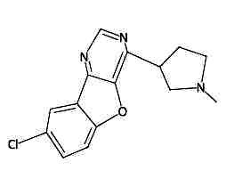 CN1CCC(c2ncnc3c2oc2ccc(Cl)cc23)C1